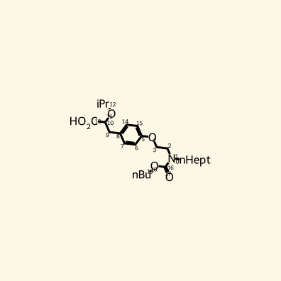 CCCCCCCN(CCOc1ccc(CC(OC(C)C)C(=O)O)cc1)C(=O)OCCCC